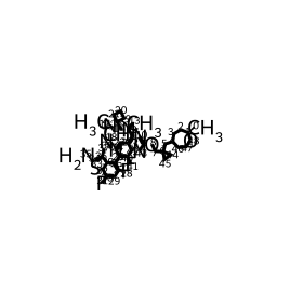 C[C@@H]1CCC(CC2(COc3nc(N(C)CC4(N(C)C)CCC4)c4cnc(C5=C(F)C=C(F)C6SC(N)=C(C#N)C56)c(F)c4n3)CC2)CCO1